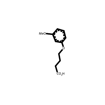 COc1cccc(OCCCC(=O)O)c1